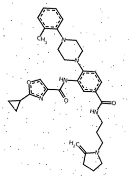 C=C1CCCN1CCCNC(=O)c1ccc(N2CCN(c3ccccc3C)CC2)c(NC(=O)c2coc(C3CC3)n2)c1